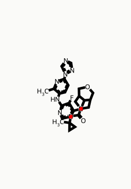 Cc1nc(-n2cncn2)ccc1Nc1ncnc(OC2C3COCC2CN(C(=O)OC2(C)CC2)C3)c1F